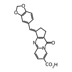 O=C(O)c1ccc2nc3c(c(=O)n2c1)CCC3=Cc1ccc2c(c1)OCO2